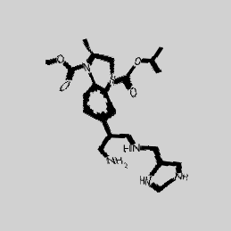 COC(=O)N1c2ccc(C(CN)CNCC3CNCN3)cc2N(C(=O)OC(C)C)C[C@@H]1C